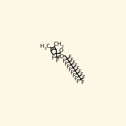 CC1C2CC(C1C)C(C(=O)OCC(F)(F)C(F)(F)C(F)(F)C(F)(F)C(F)(F)C(F)(F)C(F)(F)C(F)(F)F)(C(F)(F)F)C2